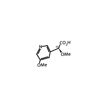 COc1cncc([C@H](OC)C(=O)O)c1